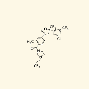 Cc1cc(C2=NOC(c3cc(Cl)cc(C(F)(F)F)c3)(C(F)(F)F)C2)ccc1C(=O)N1CCN(CCC(F)(F)F)C1